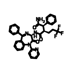 NC(=O)[C@@H](c1ccccc1)[C@@H](CCC(F)(F)F)C(=O)N[C@H]1N=C(c2ccccc2)c2ccccc2N(c2ccccn2)C1=O